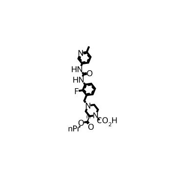 CCCOC(=O)[C@H]1CN(Cc2cccc(NC(=O)Nc3ccc(C)nc3)c2F)CCN1C(=O)O